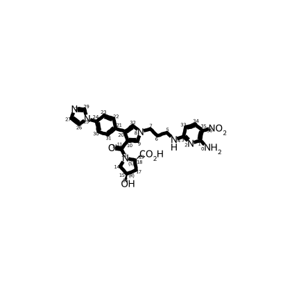 Nc1nc(NCCCn2cc(C(=O)N3C[C@H](O)C[C@H]3C(=O)O)c(-c3ccc(-n4ccnc4)cc3)c2)ccc1[N+](=O)[O-]